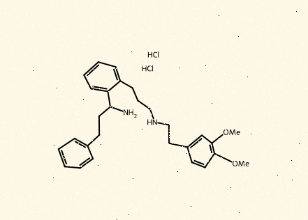 COc1ccc(CCNCCCc2ccccc2C(N)CCc2ccccc2)cc1OC.Cl.Cl